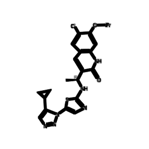 CC(C)Oc1cc2[nH]c(=O)c([C@H](C)Nc3ncc(-n4nncc4C4CC4)s3)cc2cc1Cl